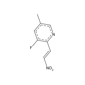 Cc1cnc(/C=C/[N+](=O)[O-])c(F)c1